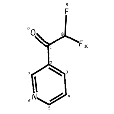 O=C(c1cccnc1)C(F)F